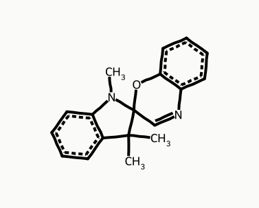 CN1c2ccccc2C(C)(C)C12C=Nc1ccccc1O2